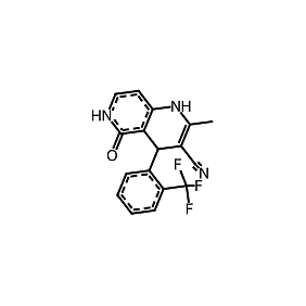 CC1=C(C#N)C(c2ccccc2C(F)(F)F)c2c(cc[nH]c2=O)N1